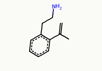 C=C(C)c1ccccc1CCN